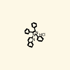 Cl.c1ccc(-c2nc(-c3ccccc3)n(-c3ccc4ccccc4n3)c2-c2ccccc2)cc1